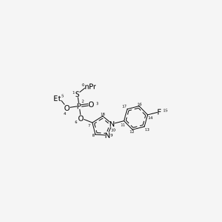 CCCSP(=O)(OCC)Oc1cnn(-c2ccc(F)cc2)c1